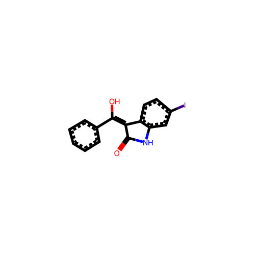 O=C1Nc2cc(I)ccc2C1=C(O)c1ccccc1